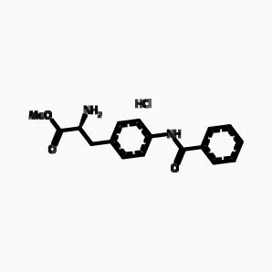 COC(=O)[C@@H](N)Cc1ccc(NC(=O)c2ccccc2)cc1.Cl